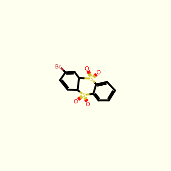 O=S1(=O)c2ccccc2S(=O)(=O)C2C=C(Br)C=CC21